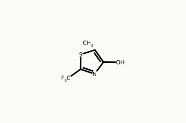 C.Oc1csc(C(F)(F)F)n1